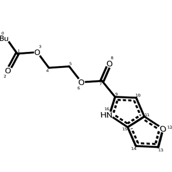 CC(C)(C)C(=O)OCCOC(=O)c1cc2occc2[nH]1